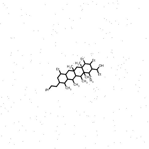 CCC(O)C1C(CC)C(CC)[C@@]2(C)CC3(C)CC4C(CC)CC(CCC(C)C)C(C)C4C(C)C3C(C)C2(C)C1C